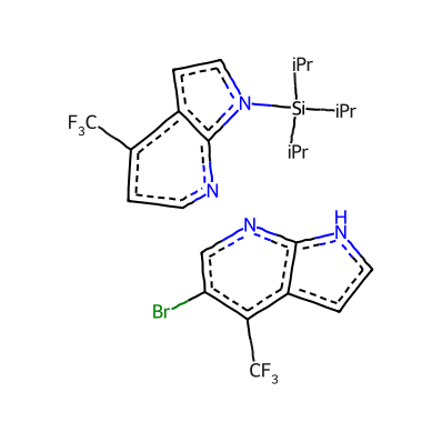 CC(C)[Si](C(C)C)(C(C)C)n1ccc2c(C(F)(F)F)ccnc21.FC(F)(F)c1c(Br)cnc2[nH]ccc12